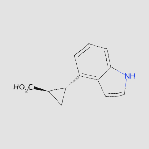 O=C(O)[C@@H]1C[C@H]1c1cccc2[nH]ccc12